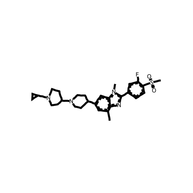 Cc1cc(C2CCN(C3CCN(C4CC4)CC3)CC2)cc2c1nc(-c1ccc(S(C)(=O)=O)c(F)c1)n2C